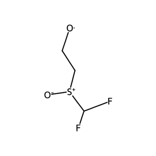 [O]CC[S+]([O-])C(F)F